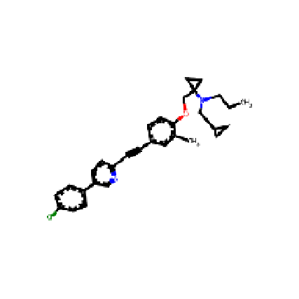 CCCN(CC1CC1)C1(COc2ccc(C#Cc3ccc(-c4ccc(Cl)cc4)cn3)cc2C)CC1